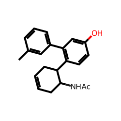 CC(=O)NC1CC=CCC1c1ccc(O)cc1-c1cccc(C)c1